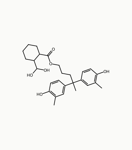 Cc1cc(C(C)(CCCOC(=O)C2CCCCC2C(O)O)c2ccc(O)c(C)c2)ccc1O